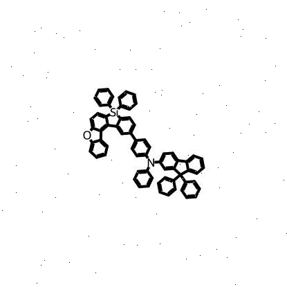 c1ccc(N(c2ccc(-c3ccc4c(c3)-c3c(ccc5oc6ccccc6c35)[Si]4(c3ccccc3)c3ccccc3)cc2)c2ccc3c(c2)C(c2ccccc2)(c2ccccc2)c2ccccc2-3)cc1